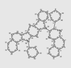 c1ccc(-c2nc3ccc4ccccc4c3nc2-n2c3ccccc3c3cc4c5ccc6ccccc6c5n(-c5ccccc5)c4cc32)cc1